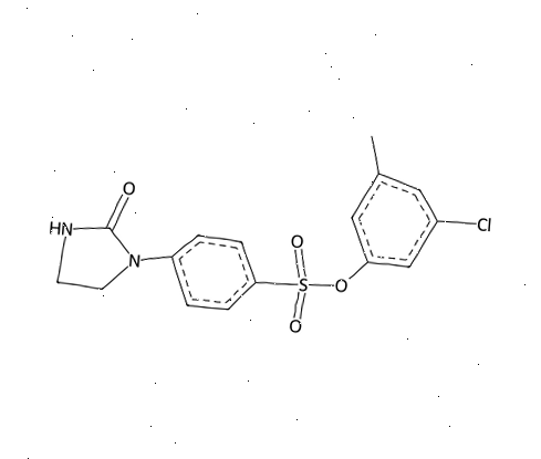 Cc1cc(Cl)cc(OS(=O)(=O)c2ccc(N3CCNC3=O)cc2)c1